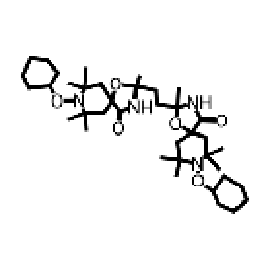 CC1(CCC2(C)NC(=O)C3(CC(C)(C)N(OC4CCCCC4)C(C)(C)C3)O2)NC(=O)C2(CC(C)(C)N(OC3CCCCC3)C(C)(C)C2)O1